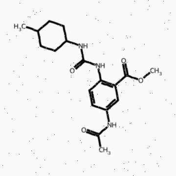 COC(=O)c1cc(NC(C)=O)ccc1NC(=O)NC1CCC(C)CC1